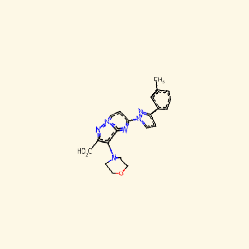 Cc1cccc(-c2ccn(-c3ccn4nc(C(=O)O)c(N5CCOCC5)c4n3)n2)c1